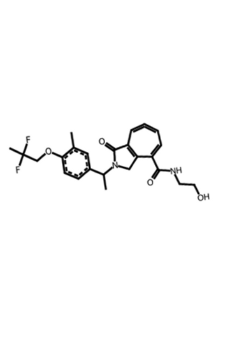 Cc1cc(C(C)N2CC3=C(C=C=CC=C3C(=O)NCCO)C2=O)ccc1OCC(C)(F)F